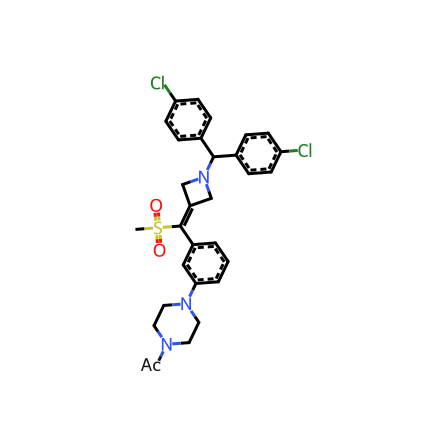 CC(=O)N1CCN(c2cccc(C(=C3CN(C(c4ccc(Cl)cc4)c4ccc(Cl)cc4)C3)S(C)(=O)=O)c2)CC1